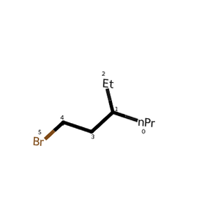 CCCC(CC)C[CH]Br